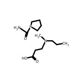 CCCN(C)CCC(=O)O.NC(=O)N1CCCC1